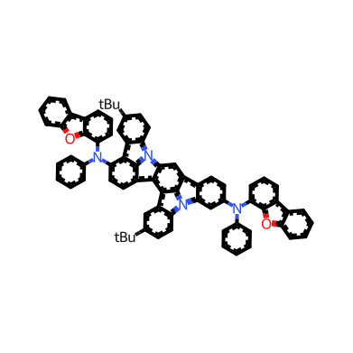 CC(C)(C)c1ccc2c(c1)c1c(N(c3ccccc3)c3cccc4c3oc3ccccc34)ccc3c4c5c6cc(C(C)(C)C)ccc6n6c7cc(N(c8ccccc8)c8cccc9c8oc8ccccc89)ccc7c(cc4n2c31)c56